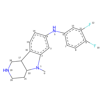 CN1c2cc(Nc3ccc(F)c(F)c3)ccc2C2CNCCC21